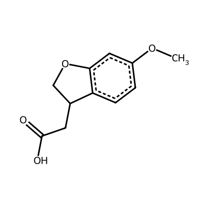 COc1ccc2c(c1)OCC2CC(=O)O